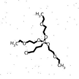 CCOCCO[Si](CCCCl)(OCCOCC)OCCOCC